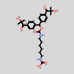 CC(C)(O)C(=O)c1ccc(C(OC(=O)NCCCCCCNC(=O)O)c2ccc(C(=O)C(C)(C)O)cc2)cc1